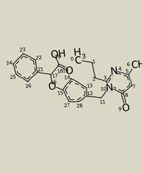 CCCc1nc(C)cc(=O)n1Cc1ccc(OC(C(=O)O)c2ccccc2)cc1